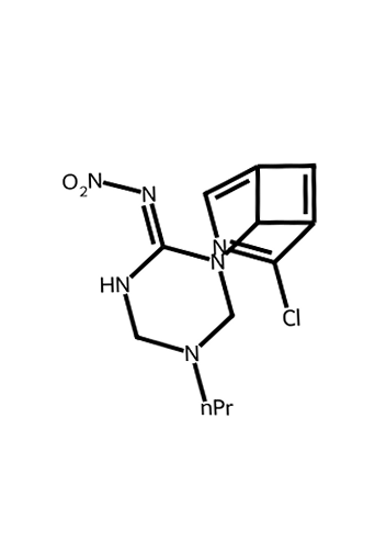 CCCN1CNC(=N[N+](=O)[O-])N(C2C3=CN=C(Cl)C2=C3)C1